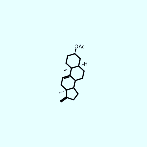 C=C1CCC2C3CC[C@@H]4C[C@H](OC(C)=O)CC[C@]4(C)C3=CC[C@]12C